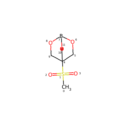 CS(=O)(=O)C12COB(OC1)OC2